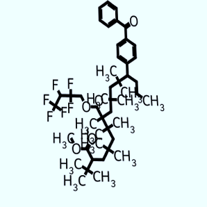 CCCC(c1ccc(C(=O)c2ccccc2)cc1)C(C)(C)CC(C)(C)CC(C)(C(=O)OCC(F)(F)C(F)C(F)(F)F)C(C)(C)CC(C)(C)CC(C(=O)OC)C(C)(C)C